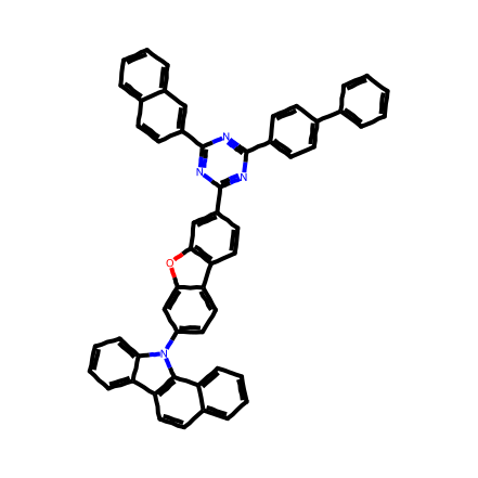 c1ccc(-c2ccc(-c3nc(-c4ccc5ccccc5c4)nc(-c4ccc5c(c4)oc4cc(-n6c7ccccc7c7ccc8ccccc8c76)ccc45)n3)cc2)cc1